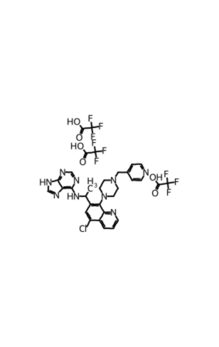 CC(Nc1ncnc2[nH]cnc12)c1cc(Cl)c2cccnc2c1N1CCN(Cc2ccncc2)CC1.O=C(O)C(F)(F)F.O=C(O)C(F)(F)F.O=C(O)C(F)(F)F